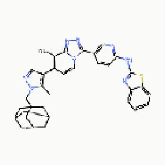 Cc1c(-c2ccn3c(-c4ccc(Nc5nc6ccccc6s5)nc4)nnc3c2C#N)cnn1CC12CC3CC(CC(C3)C1)C2